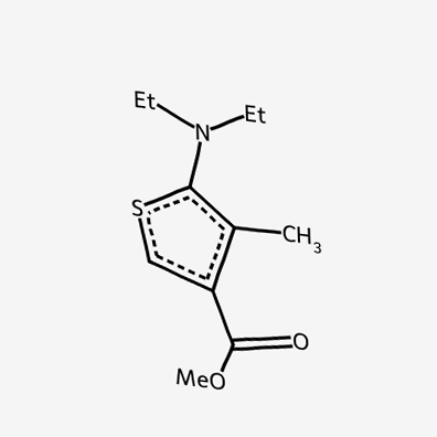 CCN(CC)c1scc(C(=O)OC)c1C